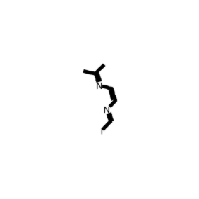 CC(C)=N/C=C\N=C\I